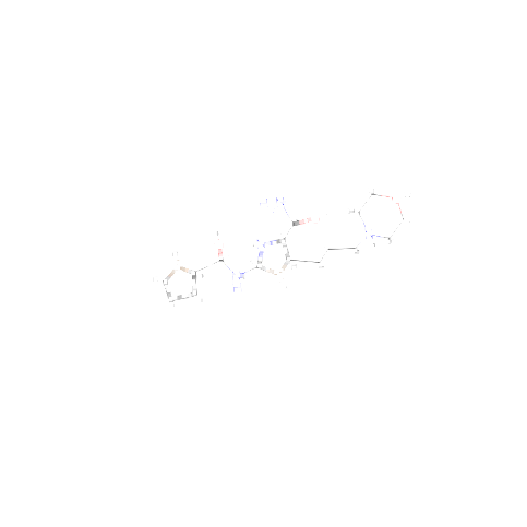 NC(=O)c1nc(NC(=O)c2cccs2)sc1CCCN1CCOCC1